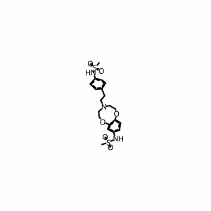 CS(=O)(=O)Nc1ccc(CCN2CCOc3ccc(NS(C)(=O)=O)cc3OCC2)cc1